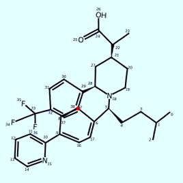 CC(C)CC[C@@H](c1ccc(-c2ccccn2)cc1)N1CC[C@H](C(C)C(=O)O)C[C@@H]1c1ccc(C(F)(F)F)cc1